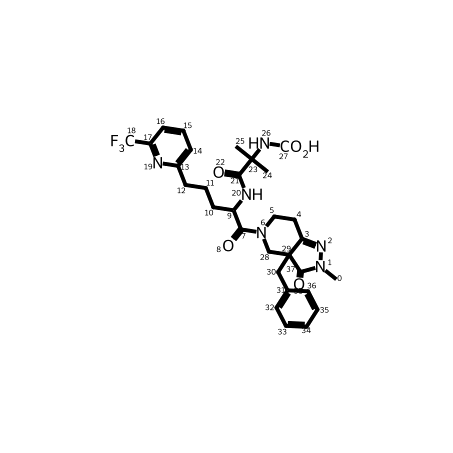 CN1N=C2CCN(C(=O)C(CCCc3cccc(C(F)(F)F)n3)NC(=O)C(C)(C)NC(=O)O)CC2(Cc2ccccc2)C1=O